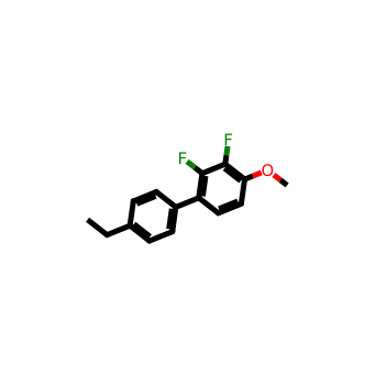 CCc1ccc(-c2ccc(OC)c(F)c2F)cc1